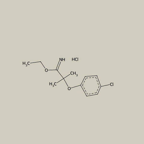 CCOC(=N)C(C)(C)Oc1ccc(Cl)cc1.Cl